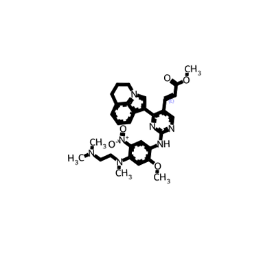 COC(=O)/C=C/c1cnc(Nc2cc([N+](=O)[O-])c(N(C)CCN(C)C)cc2OC)nc1-c1cn2c3c(cccc13)CCC2